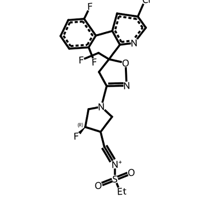 CCS(=O)(=O)[N+]#CC1CN(C2=NOC(CF)(c3ncc(Cl)cc3-c3c(F)cccc3F)C2)C[C@@H]1F